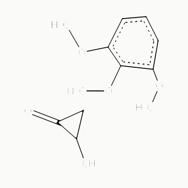 CC1CC1=O.COc1cccc(OC)c1OC